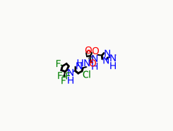 CNc1ncc(C(=O)N[C@@]2(C(=O)NCc3ncc(Nc4ccc(F)cc4C(F)(F)F)cc3Cl)CCOC2)cn1